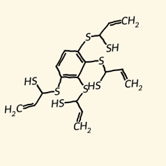 C=CC(S)Sc1ccc(SC(S)C=C)c(SC(S)C=C)c1SC(S)C=C